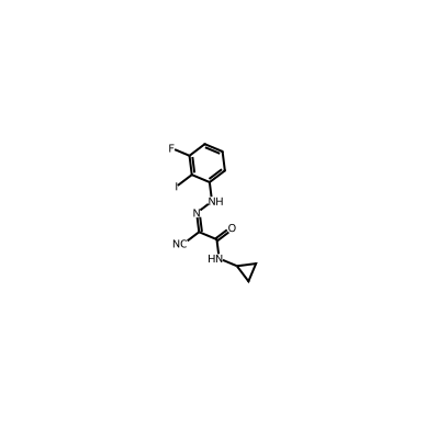 N#CC(=NNc1cccc(F)c1I)C(=O)NC1CC1